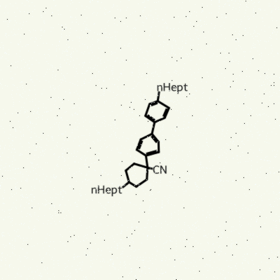 CCCCCCCc1ccc(-c2ccc(C3(C#N)CCC(CCCCCCC)CC3)cc2)cc1